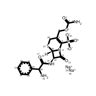 NC(=O)OCC1=C(P(=O)([O-])[O-])N2C(=O)[C@@H](NC(=O)C(N)c3ccccc3)[C@@H]2SC1.[Na+].[Na+]